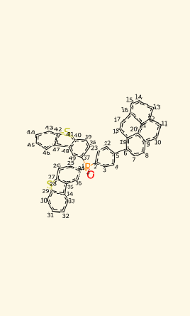 O=P(c1ccc(-c2ccc3ccc4cccc5ccc2c3c45)cc1)(c1ccc2sc3ccccc3c2c1)c1ccc2sc3ccccc3c2c1